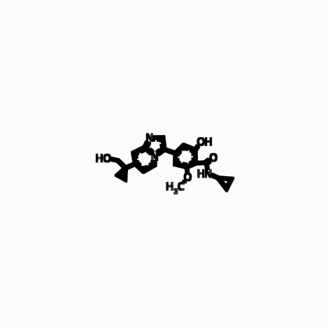 COc1cc(-c2cnc3cc(C4(CO)CC4)ccn23)cc(O)c1C(=O)NC1CC1